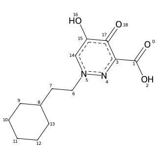 O=C(O)c1nn(CCC2CCCCC2)cc(O)c1=O